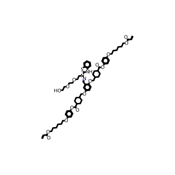 C=CC(=O)OCCCCCCOc1ccc(OC(=O)C2CCC(COc3ccc(OCC4CCC(C(=O)Oc5ccc(OCCCCCCOC(=O)C=C)cc5)CC4)c(/C=N/N(CCOCCOCCO)C4Nc5ccccc5S4)c3)CC2)cc1